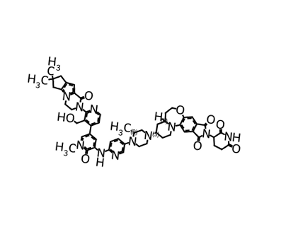 C[C@@H]1CN([C@H]2CCN3c4cc5c(cc4OCC[C@H]3C2)C(=O)N(C2CCC(=O)NC2=O)C5=O)CCN1c1ccc(Nc2cc(-c3ccnc(N4CCn5c(cc6c5CC(C)(C)C6)C4=O)c3CO)cn(C)c2=O)nc1